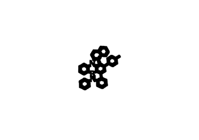 Cc1ccc(-c2cc3c4c5c2c2c6ccccc6ccc2n5-c2ccccc2B4N(c2ccccc2)c2ccccc2-3)cc1